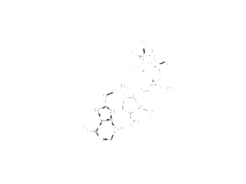 [N-]=[N+]=Nc1nc2c(N)ncnc2n1[C@@H]1O[C@H](COP(=O)(O)OP(=O)(O)OP(=O)(O)O)[C@@H](O)[C@H]1O